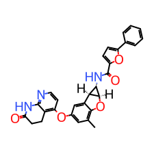 Cc1cc(Oc2ccnc3c2CCC(=O)N3)cc2c1O[C@@H]1[C@@H](NC(=O)c3ccc(-c4ccccc4)o3)[C@H]21